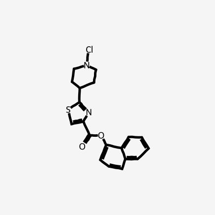 O=C(Oc1cccc2ccccc12)c1csc(C2CCN(Cl)CC2)n1